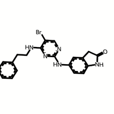 O=C1Cc2cc(Nc3ncc(Br)c(NCCc4ccccc4)n3)ccc2N1